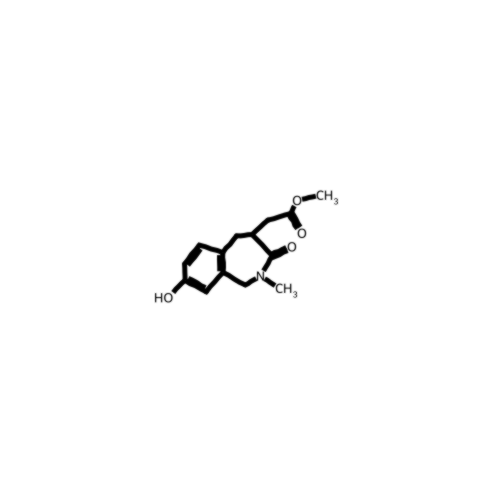 COC(=O)CC1Cc2ccc(O)cc2CN(C)C1=O